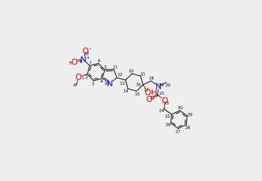 COc1cc2c(cc1[N+](=O)[O-])=CC(C1CCC(O)(CN(C)C(=O)OCc3ccccc3)CC1)N=2